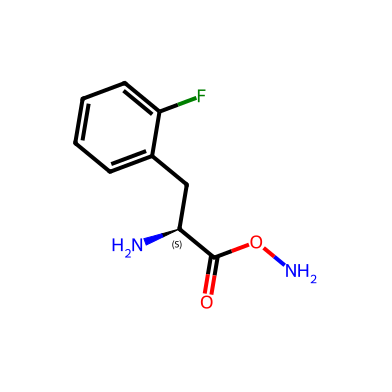 NOC(=O)[C@@H](N)Cc1ccccc1F